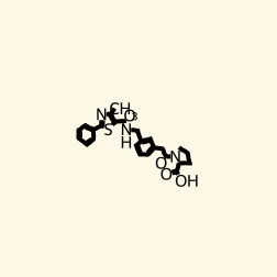 Cc1nc(-c2ccccc2)sc1C(=O)NCc1cccc(CC(=O)N2CCCC2C(=O)O)c1